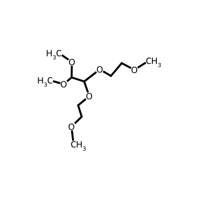 COCCOC(OCCOC)C(OC)OC